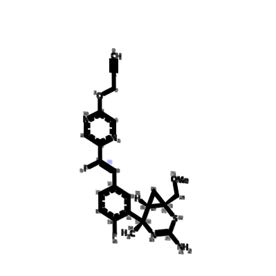 C#CCOc1cnc(/C(F)=C/c2ccc(F)c([C@@]3(C)N=C(N)S[C@@]4(COC)C[C@H]43)c2)cn1